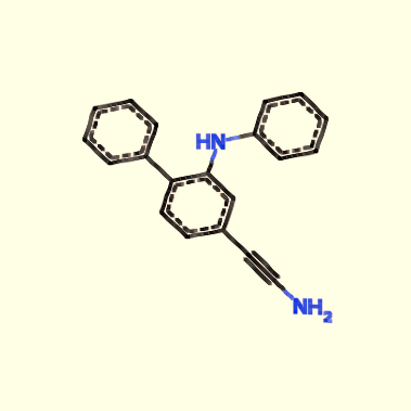 NC#Cc1ccc(-c2ccccc2)c(Nc2ccccc2)c1